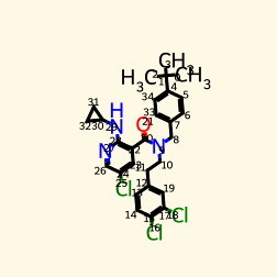 CC(C)(C)c1ccc(CN(CCc2ccc(Cl)c(Cl)c2)C(=O)c2cc(Cl)cnc2NC2CC2)cc1